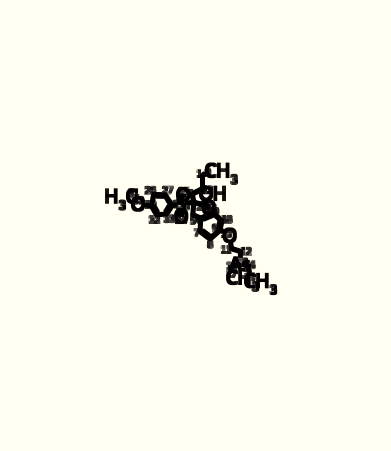 CCCCC(Cc1ccc(OCC[As](CC)CC)cc1)(C(=O)O)S(=O)(=O)c1ccc(OC)cc1